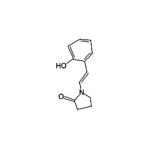 O=C1CCCN1C=Cc1ccccc1O